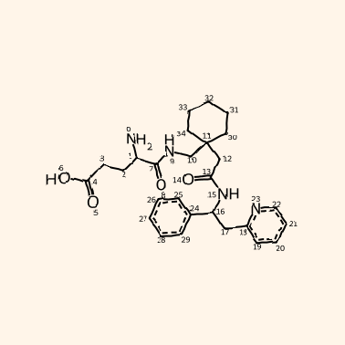 NC(CCC(=O)O)C(=O)NCC1(CC(=O)NC(Cc2ccccn2)c2ccccc2)CCCCC1